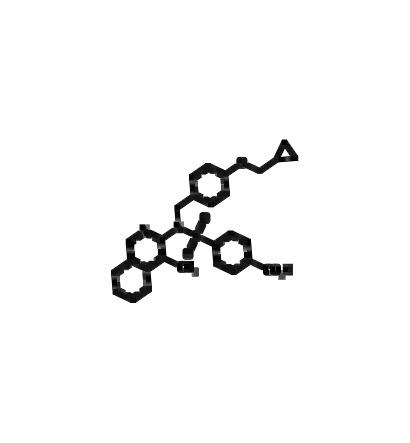 Cc1c(N(Cc2ccc(OCC3CC3)cc2)S(=O)(=O)c2ccc(C(=O)O)cc2)ncc2ccccc12